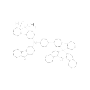 CC1(C)c2ccccc2-c2cc(N(c3ccc(-c4ccc5c(c4)C4(c6ccccc6-5)c5ccc6ccccc6c5Oc5c4ccc4ccccc54)cc3)c3ccc4sc5ccccc5c4c3)ccc21